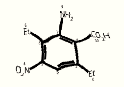 CCc1cc([N+](=O)[O-])c(CC)c(N)c1C(=O)O